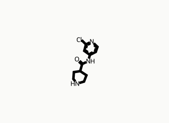 O=C(Nc1ccnc(Cl)c1)C1CCNCC1